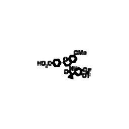 COc1ccc2c(c1)O[C@@H](c1ccc(C(=O)O)cc1)C[C@H]2NC(=O)C1(c2ccc3c(c2)OC(F)(F)O3)CC1